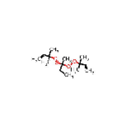 C=CC(C)(C)OOC(C)(CC)OOC(C)(C)C=C